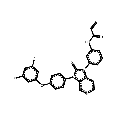 C=CC(=O)Nc1cccc(-n2c(=O)n(-c3ccc(Oc4cc(F)cc(F)c4)cc3)c3cnccc32)c1